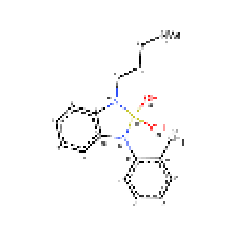 CNCCCN1c2ccccc2N(c2ccccc2C)S1(O)O